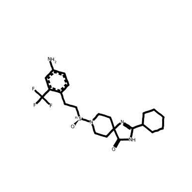 Nc1ccc(CC[S@+]([O-])N2CCC3(CC2)N=C(C2CCCCC2)NC3=O)c(C(F)(F)F)c1